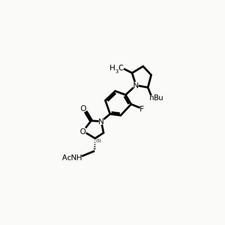 CCCCC1CCC(C)N1c1ccc(N2C[C@H](CNC(C)=O)OC2=O)cc1F